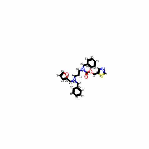 O=C(OCc1cncs1)N(CCCN(Cc1ccccc1)Cc1ccco1)Cc1ccccc1